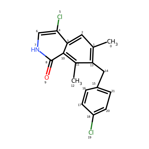 Cc1cc2c(Cl)c[nH]c(=O)c2c(C)c1Cc1ccc(Cl)cc1